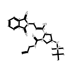 C=CCOC(=O)N1C[C@H](O[Si](C)(C)C(C)(C)C)C[C@H]1C(Cl)=CCN1C(=O)c2ccccc2C1=O